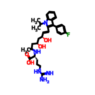 C=C(C[C@@H](O)C[C@@H](O)/C=C/c1c(-c2ccc(F)cc2)c2ccccc2n1C(C)C)N[C@H](CCCNC(=N)N)C(=O)O